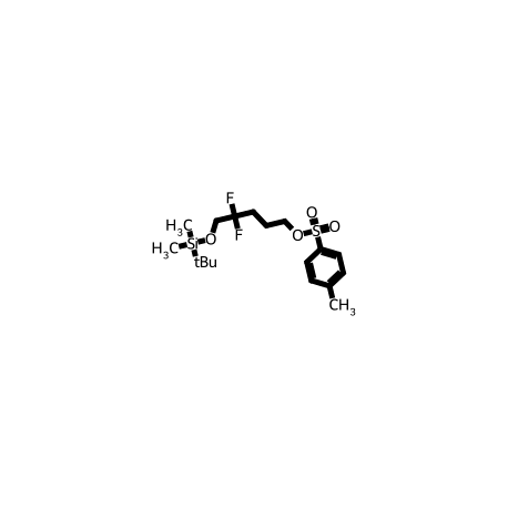 Cc1ccc(S(=O)(=O)OCCCC(F)(F)CO[Si](C)(C)C(C)(C)C)cc1